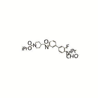 CC(C)OC(=O)N1CCC(c2nc3cc(-c4ccc(N(C=O)C(C)C)c(F)c4)ccc3o2)CC1